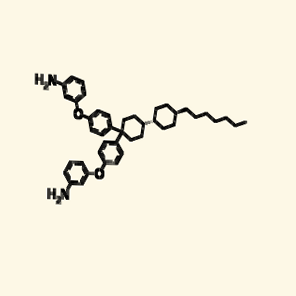 CCCCCCC[C@H]1CC[C@H](C2CCC(c3ccc(Oc4cccc(N)c4)cc3)(c3ccc(Oc4cccc(N)c4)cc3)CC2)CC1